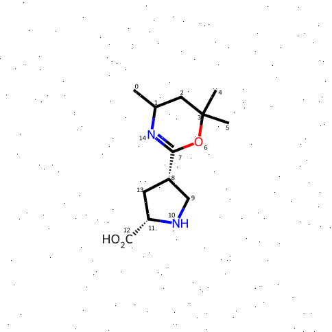 CC1CC(C)(C)OC([C@@H]2CN[C@H](C(=O)O)C2)=N1